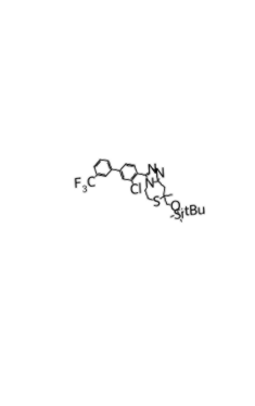 CC1(CO[Si](C)(C)C(C)(C)C)Cc2nnc(-c3ccc(-c4cccc(C(F)(F)F)c4)cc3Cl)n2CCS1